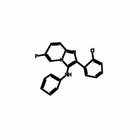 Fc1ccc2nc(-c3ccccc3Cl)c(Nc3ccccc3)n2c1